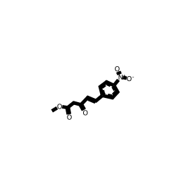 COC(=O)CC(=O)C=Cc1ccc([N+](=O)[O-])cc1